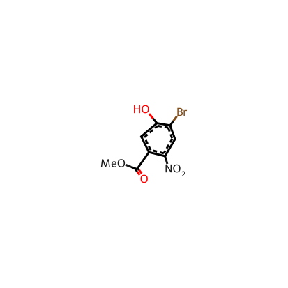 COC(=O)c1cc(O)c(Br)cc1[N+](=O)[O-]